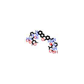 COC(=O)N[C@@H](C(=O)N1[C@@H](C)CC[C@H]1c1nc2ccc3cc4c(cc3c2[nH]1)OCc1cc(-c2cnc([C@@H]3CC[C@H](C)N3C(=O)[C@@H](NC(=O)O)C(C)C)[nH]2)ccc1-4)C1C[C@@H](C)O[C@H](C)C1